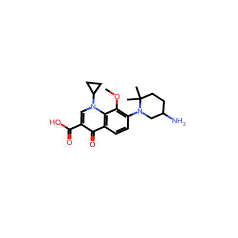 COc1c(N2CC(N)CCC2(C)C)ccc2c(=O)c(C(=O)O)cn(C3CC3)c12